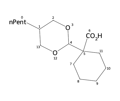 CCCCCC1COC(C2(C(=O)O)CCCCC2)OC1